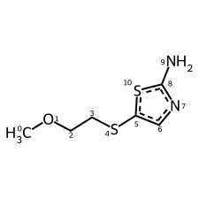 COCCSc1cnc(N)s1